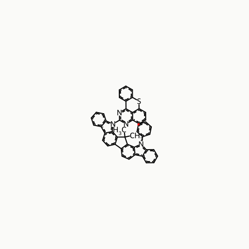 CC1(C)c2c(ccc3c4ccccc4n(-c4ccccc4)c23)-c2ccc3c4ccccc4n(-c4nc5c6c(cccc6n4)Sc4ccccc4-5)c3c21